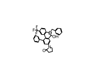 O=C(O)c1cc(N2CCCC2=O)cc(-c2ccccc2)c1-c1cc(C(F)(F)F)ccc1OCc1ccccc1